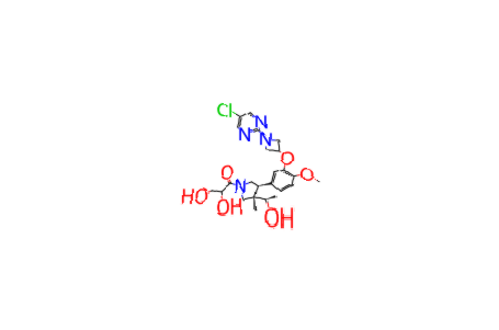 COc1ccc([C@@H]2CN(C(=O)C(O)CO)C[C@@]2(C)[C@@H](C)O)cc1OC1CN(c2ncc(Cl)cn2)C1